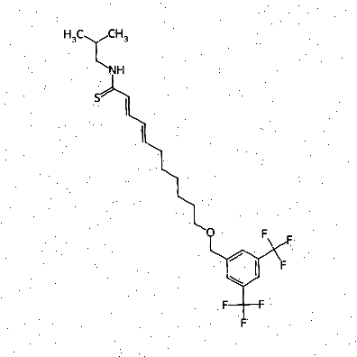 CC(C)CNC(=S)C=CC=CCCCCCCOCc1cc(C(F)(F)F)cc(C(F)(F)F)c1